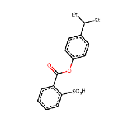 CCC(CC)c1ccc(OC(=O)c2ccccc2S(=O)(=O)O)cc1